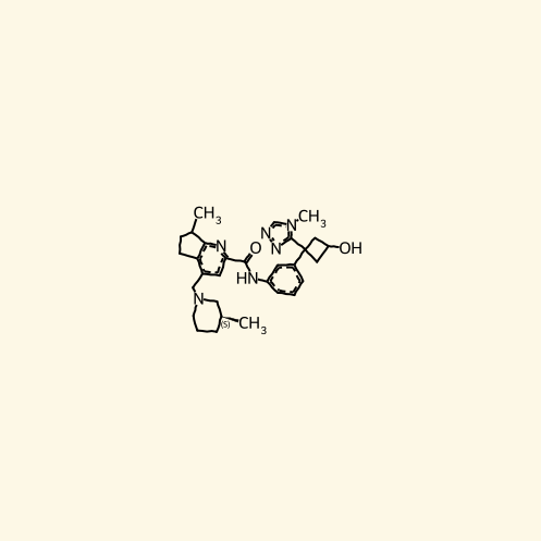 CC1CCc2c(CN3CCC[C@H](C)C3)cc(C(=O)Nc3cccc(C4(c5nncn5C)CC(O)C4)c3)nc21